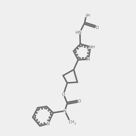 CC(C)C(=O)Nc1cc(C2CC(OC(=O)N(C)c3ccccn3)C2)n[nH]1